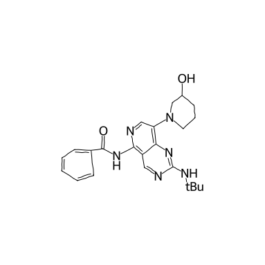 CC(C)(C)Nc1ncc2c(NC(=O)c3ccccc3)ncc(N3CCCC(O)C3)c2n1